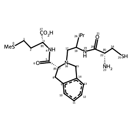 CSCC[C@@H](NC(=O)[C@H]1Cc2ccccc2CN1CC(NC(=O)[C@@H](N)CS)C(C)C)C(=O)O